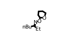 CCCCC(CC)=NOC1CCCCO1